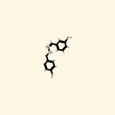 Fc1ccc(CO/N=[C]\c2cccc(F)c2)cc1